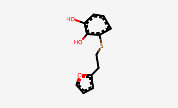 Oc1cccc(SCCc2ccco2)c1O